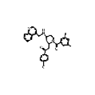 Cc1cc(C)cc(C(=O)N2CCC(NCc3ccnc4ccccc34)CC2CC(=O)c2ccc(Cl)cc2)c1